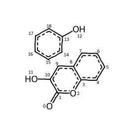 O=c1oc2ccccc2cc1O.Oc1ccccc1